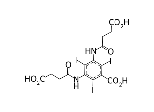 O=C(O)CCC(=O)Nc1c(I)c(NC(=O)CCC(=O)O)c(I)c(C(=O)O)c1I